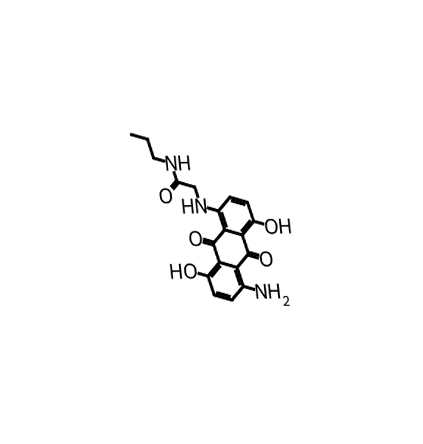 CCCNC(=O)CNc1ccc(O)c2c1C(=O)c1c(O)ccc(N)c1C2=O